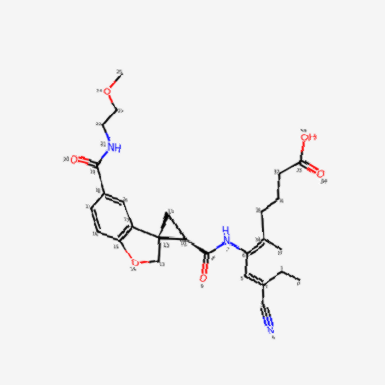 CC/C(C#N)=C\C(NC(=O)[C@@H]1C[C@]12COc1ccc(C(=O)NCCOC)cc12)=C(/C)CCCC(=O)O